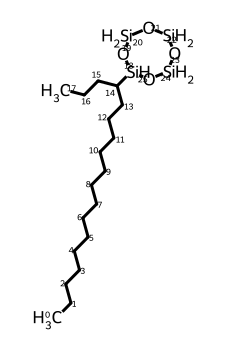 CCCCCCCCCCCCCCC(CCC)[SiH]1O[SiH2]O[SiH2]O[SiH2]O1